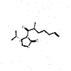 C=CCCC[C@H](C)C(=O)N1C(=O)OC[C@@H]1C(C)C